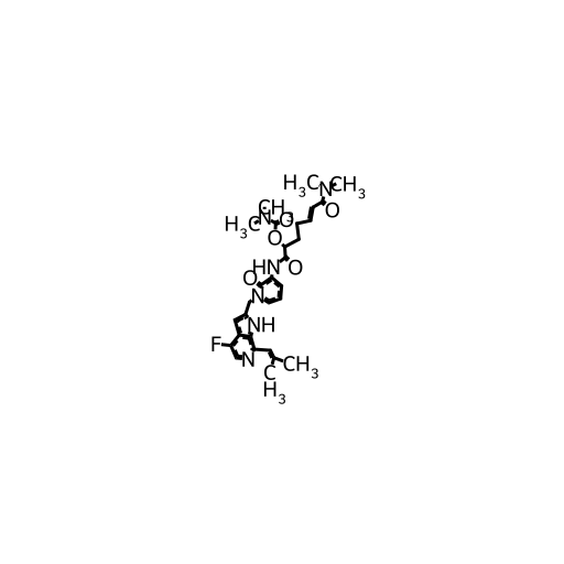 CC(C)=Cc1ncc(F)c2cc(Cn3cccc(NC(=O)C(CC/C=C/C(=O)N(C)C)OC(=O)N(C)C)c3=O)[nH]c12